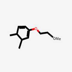 COCCOC1=CC(C)C(C)C=C1